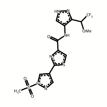 COC(c1n[nH]cc1NC(=O)c1csc(-c2cnn(S(C)(=O)=O)c2)n1)C(F)(F)F